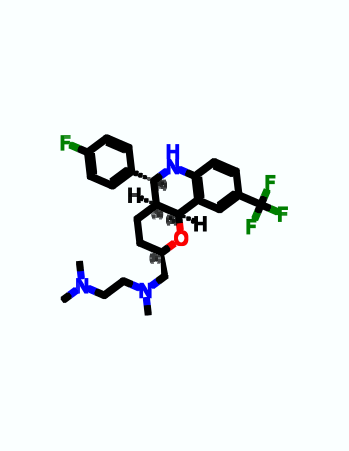 CN(C)CCN(C)C[C@H]1CC[C@@H]2[C@H](O1)c1cc(C(F)(F)F)ccc1N[C@H]2c1ccc(F)cc1